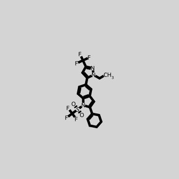 CCn1nc(C(F)(F)F)cc1-c1ccc2c(c1)cc(C1=CCCCC1)n2S(=O)(=O)C(F)(F)F